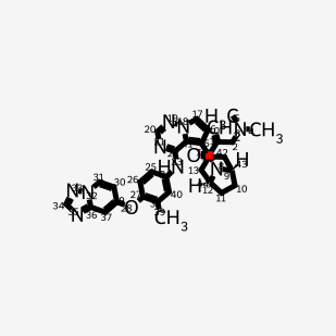 C=C(CN(C)C)C(=O)N1[C@@H]2CC[C@H]1CC(c1ccn3ncnc(Nc4ccc(Oc5ccn6ncnc6c5)c(C)c4)c13)C2